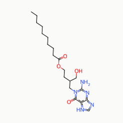 CCCCCCCCCC(=O)OCCC(CO)Cn1c(N)nc2nc[nH]c2c1=O